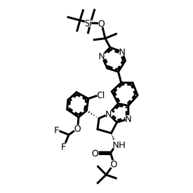 CC(C)(C)OC(=O)N[C@@H]1C[C@H](c2c(Cl)cccc2OC(F)F)n2c1nc1ccc(-c3cnc(C(C)(C)O[Si](C)(C)C(C)(C)C)nc3)cc12